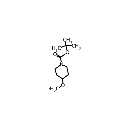 [CH2]OC1CCN(C(=O)OC(C)(C)C)CC1